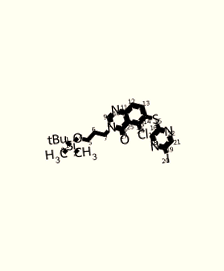 CC(C)(C)[Si](C)(C)OCCCn1cnc2ccc(Sc3cnc(I)cn3)c(Cl)c2c1=O